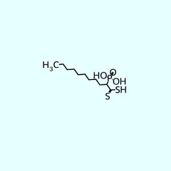 CCCCCCCCCC(C(=S)S)P(=O)(O)O